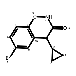 O=C1NOc2ccc(Br)cc2C1C1CC1